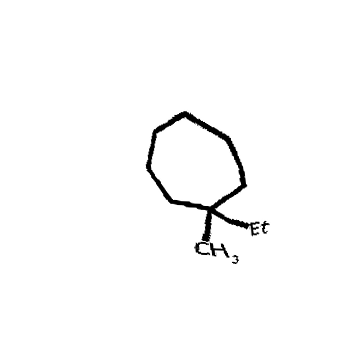 CCC1(C)CCCCCC1